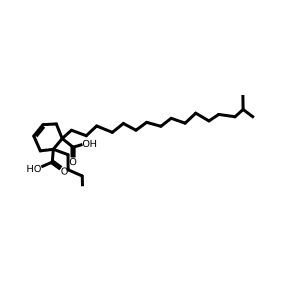 CCCCC1(C(=O)O)CC=CCC1(CCCCCCCCCCCCCCC(C)C)C(=O)O